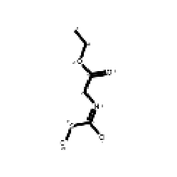 CCOC(=O)C/N=C(/Cl)SCl